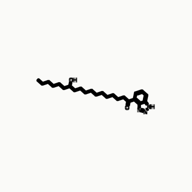 CCCCCCC(O)CCCCCCCCCCC(=O)c1cccc2[nH]nnc12